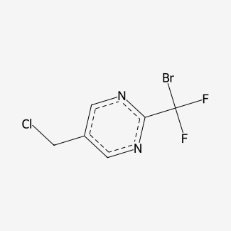 FC(F)(Br)c1ncc(CCl)cn1